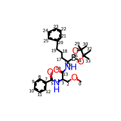 COCC(NC(=O)c1ccccc1)C(=O)NC(CCCc1ccccc1)B1OC(C)(C)C(C)(C)O1